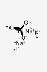 O=C([O-])[O-].[I-].[K+].[Na+].[Na+]